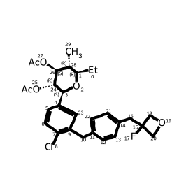 CC[C@H]1O[C@@H](c2ccc(Cl)c(Cc3ccc(CC4(F)COC4)cc3)c2)[C@H](OC(C)=O)[C@@H](OC(C)=O)[C@@H]1C